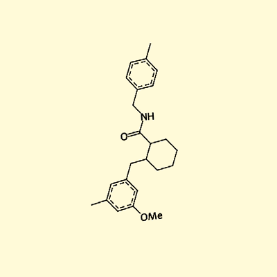 COc1cc(C)cc(CC2CCCCC2C(=O)NCc2ccc(C)cc2)c1